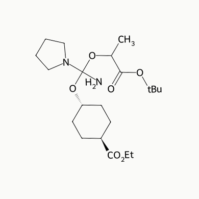 CCOC(=O)[C@H]1CC[C@H](OC(N)(OC(C)C(=O)OC(C)(C)C)N2CCCC2)CC1